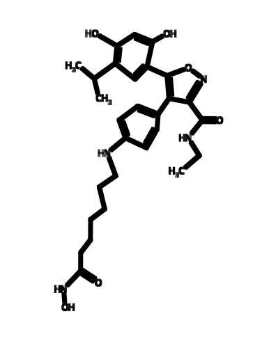 CCNC(=O)c1noc(-c2cc(C(C)C)c(O)cc2O)c1-c1ccc(NCCCCCCC(=O)NO)cc1